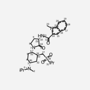 CC(C)N(C)[C@@H]1CC[C@H](N2CC[C@H](NC(=O)c3cc4ccccc4n3C)C2=O)[C@@H](CS(=O)(=O)C(C)C)C1